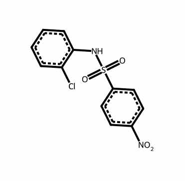 O=[N+]([O-])c1ccc(S(=O)(=O)Nc2ccccc2Cl)cc1